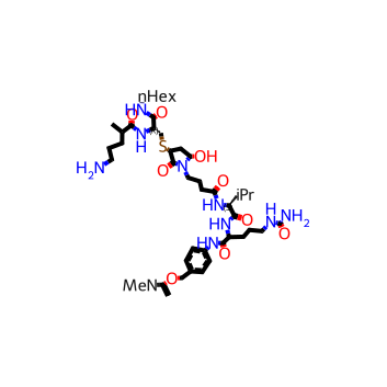 C=C(NC)OCc1ccc(NC(=O)C(CCCNC(N)=O)NC(=O)[C@@H](NC(=O)CCCN2C(=O)C(SC[C@H](NC(=O)C(C)CCCN)C(=O)NCCCCCC)CC2O)C(C)C)cc1